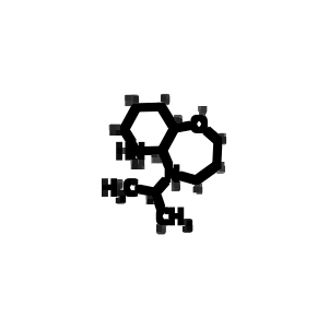 CC(C)N1CCCOC2CCCNC21